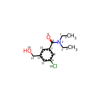 CCN(CC)C(=O)c1cc(Cl)cc(CO)c1